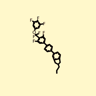 CCCC1Cc2ccc(-c3ccc(-c4cc(F)c(C(F)(F)Oc5cc(F)c(F)c(F)c5)c(F)c4)cc3)cc2C1